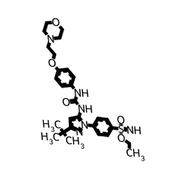 CCOS(=N)(=O)c1ccc(-n2nc(C(C)(C)C)cc2NC(=O)Nc2ccc(OCCN3CCOCC3)cc2)cc1